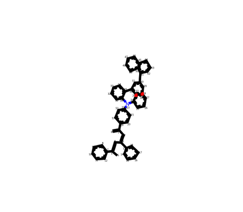 C=C(/C=C(\C=C(/C)c1ccccc1)c1ccccc1)c1ccc(N(c2ccccc2)c2ccccc2-c2cccc(-c3cccc4ccccc34)c2)cc1